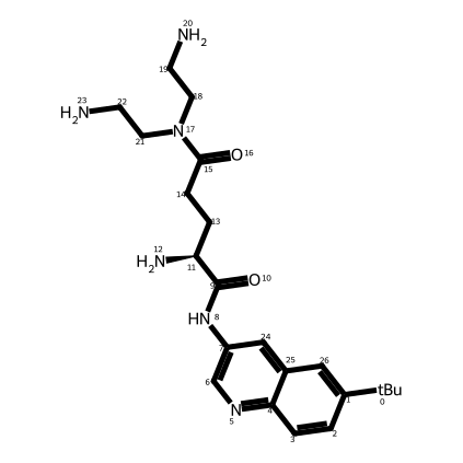 CC(C)(C)c1ccc2ncc(NC(=O)[C@@H](N)CCC(=O)N(CCN)CCN)cc2c1